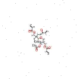 C=CC(=O)CCC(COC)(COCC(COC(=O)C=C)COC(=O)CC)COC(=O)C=C